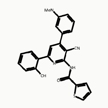 CNc1cccc(-c2cc(-c3ccccc3O)nc(NC(=O)c3cccs3)c2C#N)c1